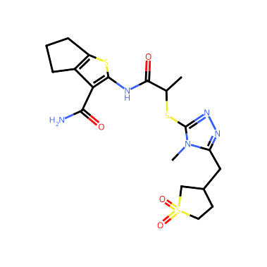 CC(Sc1nnc(CC2CCS(=O)(=O)C2)n1C)C(=O)Nc1sc2c(c1C(N)=O)CCC2